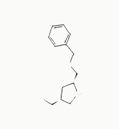 FC[C@@H]1CN[C@H](COCc2ccccc2)C1